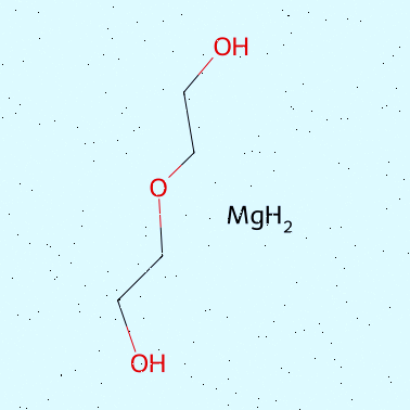 OCCOCCO.[MgH2]